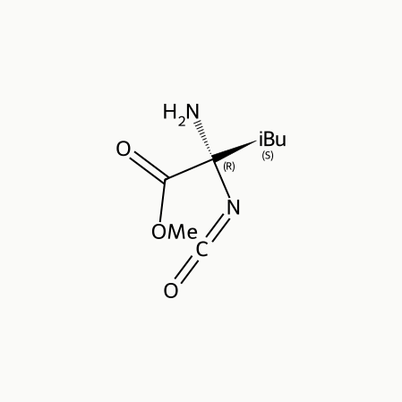 CC[C@H](C)[C@@](N)(N=C=O)C(=O)OC